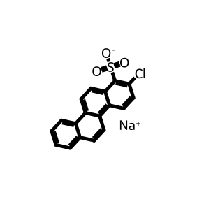 O=S(=O)([O-])c1c(Cl)ccc2c1ccc1c3ccccc3ccc21.[Na+]